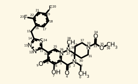 CCN1C(=O)c2c(O)c(=O)c(-c3nnc(Cc4ccc(F)cc4F)s3)cn2N(C)C12CCN(C(=O)OC)CC2